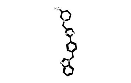 CC1CCCN(Cc2coc(-c3ccc(Cn4cnc5ccccc54)cc3)n2)C1